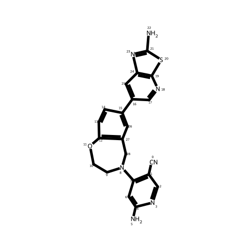 N#Cc1cnc(N)cc1N1CCOc2ccc(-c3cnc4sc(N)nc4c3)cc2C1